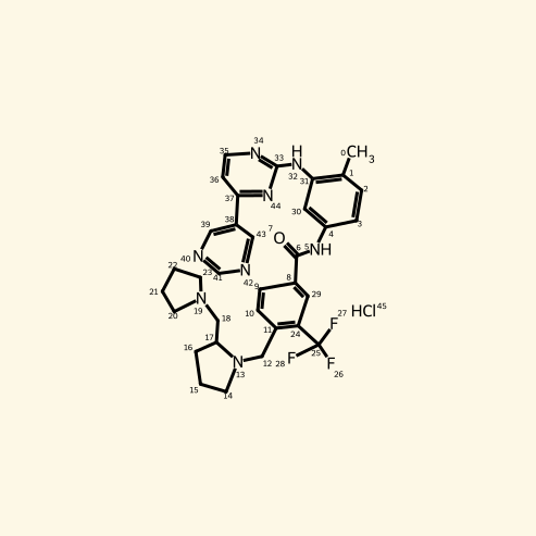 Cc1ccc(NC(=O)c2ccc(CN3CCCC3CN3CCCC3)c(C(F)(F)F)c2)cc1Nc1nccc(-c2cncnc2)n1.Cl